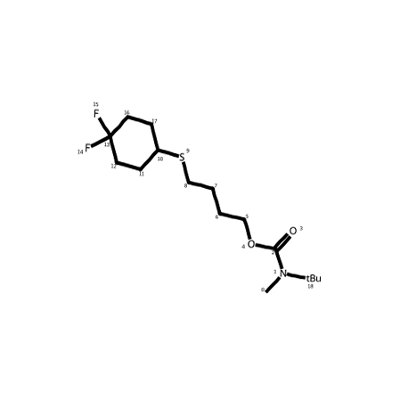 CN(C(=O)OCCCCSC1CCC(F)(F)CC1)C(C)(C)C